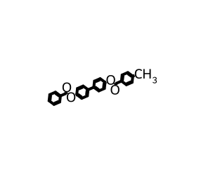 Cc1ccc(C(=O)Oc2ccc(-c3ccc(OC(=O)c4ccccc4)cc3)cc2)cc1